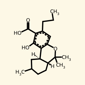 CCCc1cc2c(c(O)c1C(=O)O)[C@@H]1CC(C)CC[C@H]1C(C)(C)O2